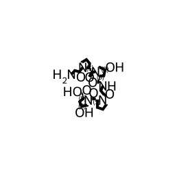 NCC(=O)N1CCC[C@H]1C(=O)N1C[C@H](O)C[C@H]1C(=O)NCC(=O)N1CCC[C@H]1C(=O)N1C[C@H](O)C[C@H]1C(=O)O